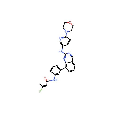 C/C(F)=C\C(=O)Nc1cccc(-c2cccc3cnc(Nc4ccc(N5CCOCC5)nc4)nc23)c1